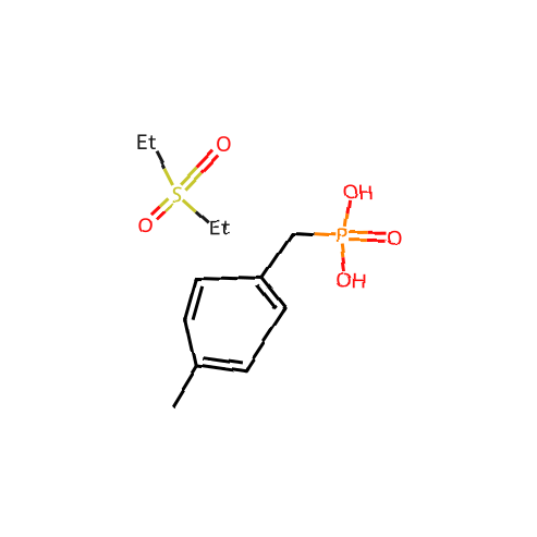 CCS(=O)(=O)CC.Cc1ccc(CP(=O)(O)O)cc1